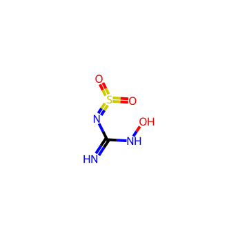 N=C(N=S(=O)=O)NO